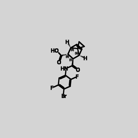 O=C(O)[C@H]1[C@H](C(=O)Nc2cc(F)c(Br)cc2F)[C@@H]2C=C[C@H]1C21CC1